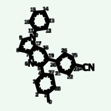 Cc1ccc(-c2nc3ccn(-c4ccccc4)c3cc2-c2ccc(C#N)cc2)cc1